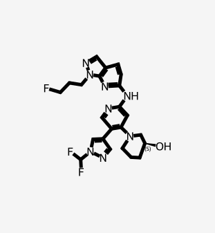 O[C@H]1CCCN(c2cc(Nc3ccc4cnn(CCCF)c4n3)ncc2-c2cnn(C(F)F)c2)C1